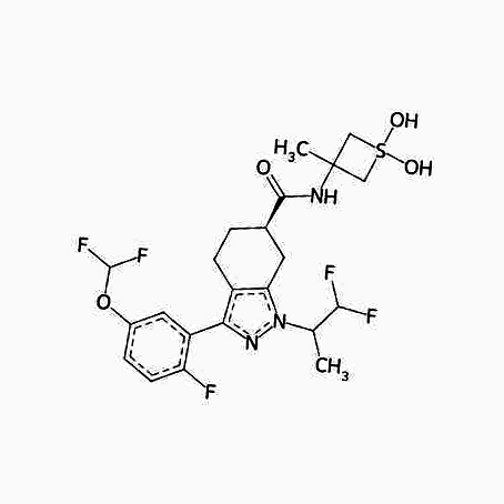 CC(C(F)F)n1nc(-c2cc(OC(F)F)ccc2F)c2c1C[C@H](C(=O)NC1(C)CS(O)(O)C1)CC2